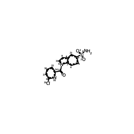 NS(=O)(=O)c1ccc2c(ccn2C(=O)c2cccc(Cl)n2)c1